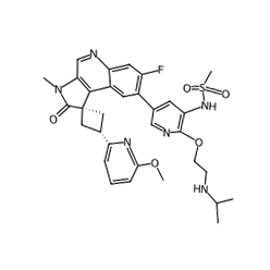 COc1cccc([C@H]2C[C@]3(C2)C(=O)N(C)c2cnc4cc(F)c(-c5cnc(OCCNC(C)C)c(NS(C)(=O)=O)c5)cc4c23)n1